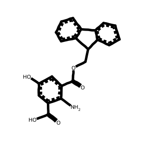 Nc1c(C(=O)O)cc(O)cc1C(=O)OCC1c2ccccc2-c2ccccc21